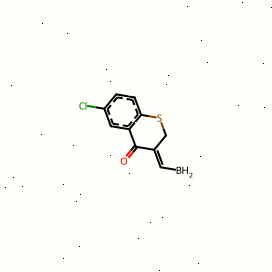 B/C=C1\CSc2ccc(Cl)cc2C1=O